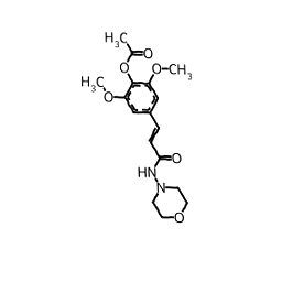 COc1cc(C=CC(=O)NN2CCOCC2)cc(OC)c1OC(C)=O